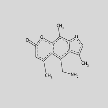 Cc1c2occ(C)c2c(CN)c2c(C)cc(=O)oc12